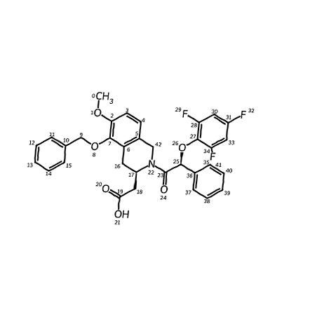 COc1ccc2c(c1OCc1ccccc1)C[C@H](CC(=O)O)N(C(=O)[C@@H](Oc1c(F)cc(F)cc1F)c1ccccc1)C2